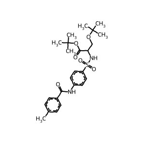 Cc1ccc(C(=O)Nc2ccc(S(=O)(=O)NC(COC(C)(C)C)C(=O)OC(C)(C)C)cc2)cc1